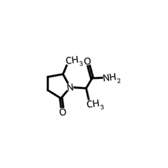 CC1CCC(=O)N1C(C)C(N)=O